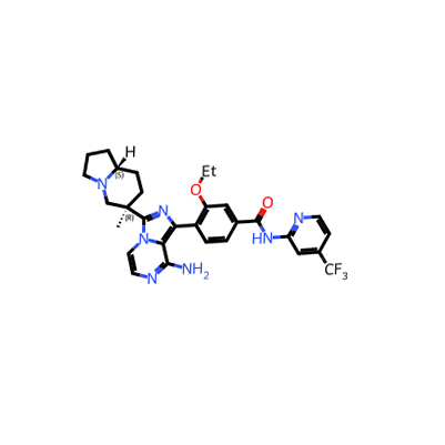 CCOc1cc(C(=O)Nc2cc(C(F)(F)F)ccn2)ccc1-c1nc([C@]2(C)CC[C@H]3CCCN3C2)n2ccnc(N)c12